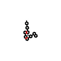 CC1C=CC(c2ccc(-c3ccc(N(c4ccccc4-c4ccccc4)c4cc(-c5cccc6ccccc56)ccc4-c4ccccc4)cc3)cc2)=CC1